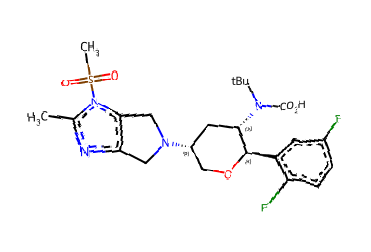 Cc1nc2c(n1S(C)(=O)=O)CN([C@H]1CO[C@H](c3cc(F)ccc3F)[C@@H](N(C(=O)O)C(C)(C)C)C1)C2